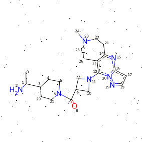 CC(N)C1CCN(C(=O)C2CN(c3c4c(nc5ccnn35)CCN(C)CC4)C2)CC1